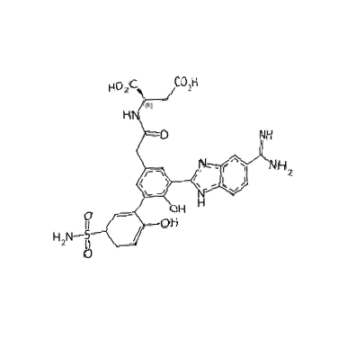 N=C(N)c1ccc2[nH]c(-c3cc(CC(=O)N[C@H](CC(=O)O)C(=O)O)cc(C4=CC(S(N)(=O)=O)CC=C4O)c3O)nc2c1